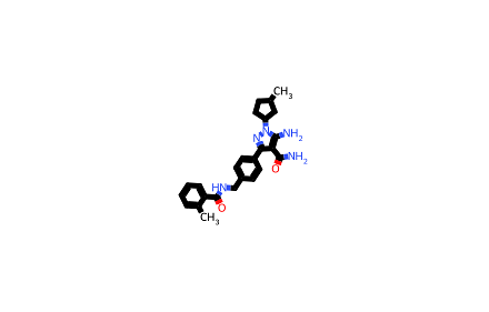 Cc1ccccc1C(=O)NCc1ccc(-c2nn(C3CCC(C)C3)c(N)c2C(N)=O)cc1